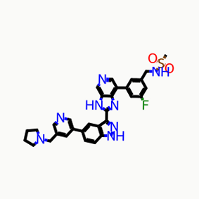 CS(=O)(=O)NCc1cc(F)cc(-c2cncc3[nH]c(-c4n[nH]c5ccc(-c6cncc(CN7CCCC7)c6)cc45)nc23)c1